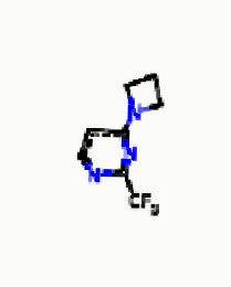 FC(F)(F)c1nccc(N2CCC2)n1